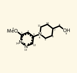 COc1cc(N2CCC(CO)CC2)cnn1